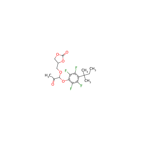 CCC(C)(C)c1c(F)c(F)c(OC(OCC2COC(=O)O2)C(C)=O)c(F)c1F